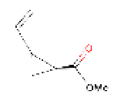 C=CC1C[C@@H]1C(=O)OC